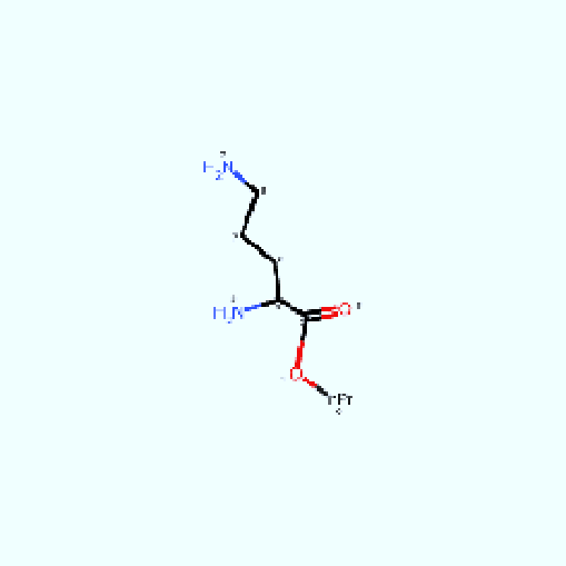 CCCOC(=O)C(N)CCCN